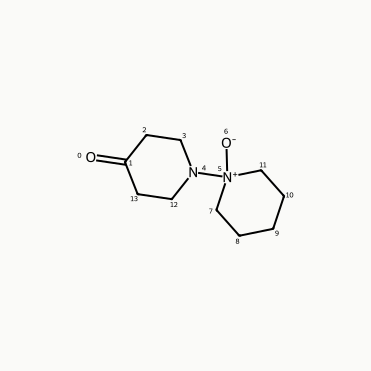 O=C1CCN([N+]2([O-])CCCCC2)CC1